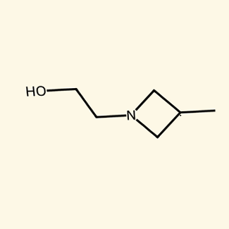 C[C]1CN(CCO)C1